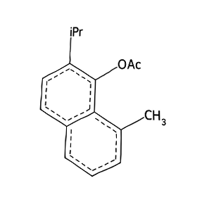 CC(=O)Oc1c(C(C)C)ccc2cccc(C)c12